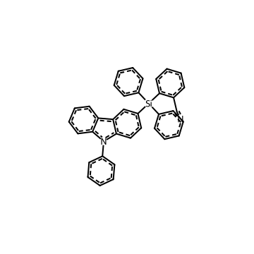 N#Cc1ccccc1[Si](c1ccccc1)(c1ccccc1)c1ccc2c(c1)c1ccccc1n2-c1ccccc1